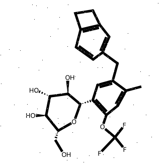 Cc1cc(OC(F)(F)F)c([C@@H]2O[C@H](CO)[C@@H](O)[C@H](O)[C@H]2O)cc1Cc1ccc2c(c1)CC2